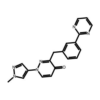 Cn1cc(-n2ccc(=O)c(Cc3cccc(-c4nc[c]cn4)c3)n2)cn1